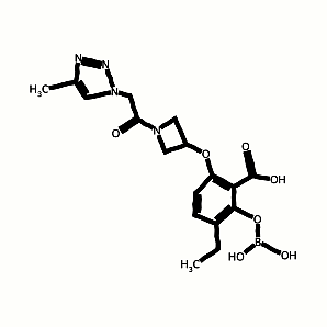 CCc1ccc(OC2CN(C(=O)Cn3cc(C)nn3)C2)c(C(=O)O)c1OB(O)O